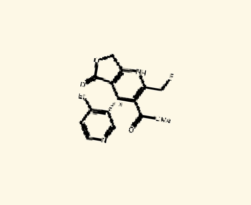 CCc1ccncc1[C@H]1C(C(=O)OC)=C(CF)NC2=C1C(=O)OC2